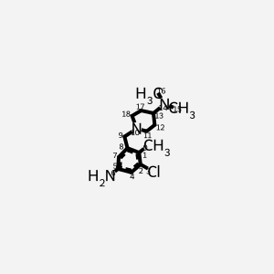 Cc1c(Cl)cc(N)cc1CN1CCC(N(C)C)CC1